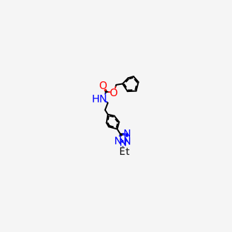 CCn1nnc(-c2ccc(CCNC(=O)OCc3ccccc3)cc2)n1